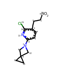 O=[N+]([O-])CCc1ccc(N2CC3(CC3)C2)nc1Cl